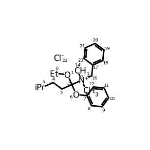 CCOC(CCC(C)C)(Oc1ccccc1)[N+](C)(C)Cc1ccccc1.[Cl-]